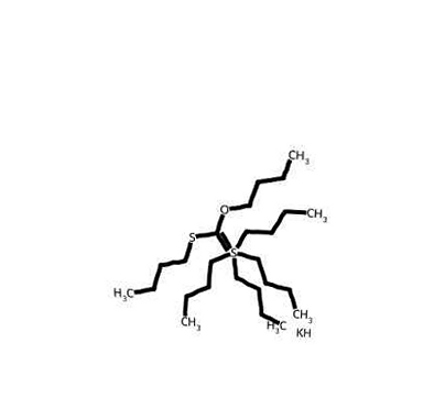 CCCCOC(SCCCC)=S(CCCC)(CCCC)(CCCC)CCCC.[KH]